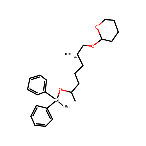 CC(CCC[C@H](C)COC1CCCCO1)O[Si](c1ccccc1)(c1ccccc1)C(C)(C)C